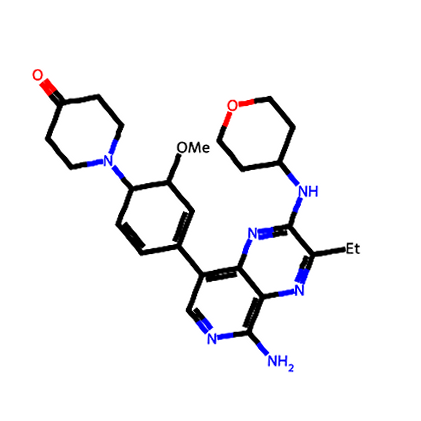 CCc1nc2c(N)ncc(C3=CC(OC)C(N4CCC(=O)CC4)C=C3)c2nc1NC1CCOCC1